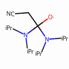 CC(C)N(C(C)C)C([O])(CC#N)N(C(C)C)C(C)C